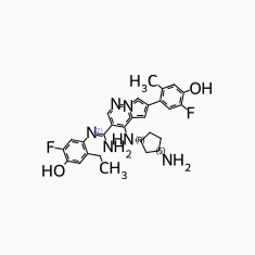 CCc1cc(O)c(F)cc1/N=C(\N)c1cnn2cc(-c3cc(F)c(O)cc3C)cc2c1N[C@@H]1CC[C@H](N)C1